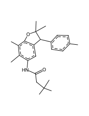 Cc1ccc(C2c3cc(NC(=O)CC(C)(C)C)c(C)c(C)c3OC2(C)C)cc1